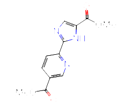 COC(=O)c1ccc(-c2ncc(C(=O)OC)[nH]2)nc1